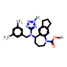 CCn1nnc(N(Cc2cc(C(F)(F)F)cc(C(F)(F)F)c2)C2CCCN(C(=O)OC(C)C)c3cc4c(cc32)CCC4)n1